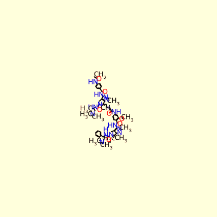 C=CC(=O)Nc1ccc(C(=O)Nc2nn(C)c3c2CN(C(=O)NC(C)CN(C)C)C3(C)C/C=C/C(=O)Nc2ccc(C(=O)Nc3c4c(nn3C)C(C)(C)N(C(=O)N[C@H](CN(C)C)c3ccccc3)C4)c(OC)c2)cc1